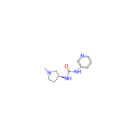 CN1CC[C@H](NC(=O)Nc2cccnc2)C1